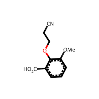 COc1cccc(C(=O)O)c1OCCC#N